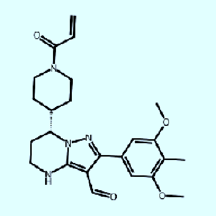 C=CC(=O)N1CCC([C@H]2CCNc3c(C=O)c(-c4cc(OC)c(C)c(OC)c4)nn32)CC1